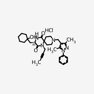 CC#CCN1C(=O)[C@@H](CC2(O)CCCCC2)NC(=O)C12CCN(Cc1c(C)nn(-c3ccccc3)c1C)CC2.Cl